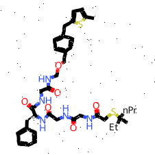 CCCC(C)(CC)SCC(=O)NCC(=O)NCC(=O)N[C@@H](Cc1ccccc1)C(=O)NCC(=O)NCOCc1ccc(Cc2ccc(C)s2)cc1